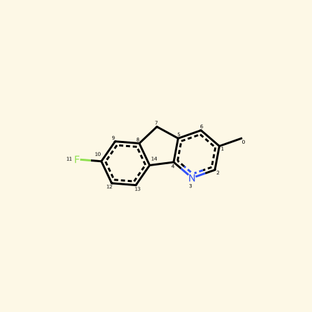 Cc1cnc2c(c1)Cc1cc(F)ccc1-2